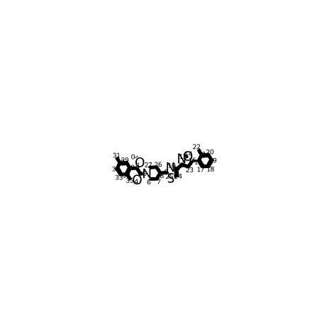 COC(C(=O)N1CCC(c2nc(C3=NO[C@@H](c4ccccc4C)C3)cs2)CC1)c1cc(C)ccc1C